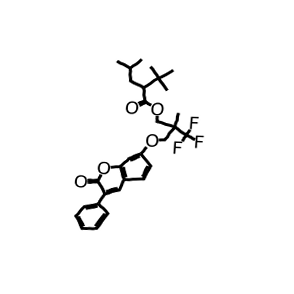 CC(C)CC(C(=O)OCC(C)(COc1ccc2cc(-c3ccccc3)c(=O)oc2c1)C(F)(F)F)C(C)(C)C